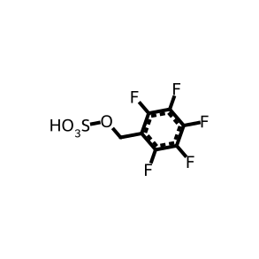 O=S(=O)(O)OCc1c(F)c(F)c(F)c(F)c1F